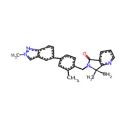 BC1(B)c2ncccc2C(=O)N1Cc1ccc(-c2ccc3nn(C)cc3c2)cc1C